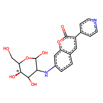 O=c1oc2cc(NC3C(O)OC(CO)[C@H](O)C3O)ccc2cc1-c1ccncc1